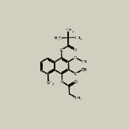 CCC(=O)Oc1c(OC)c(OC)c(OC(=O)C(C)(C)C)c2cccc(C)c12